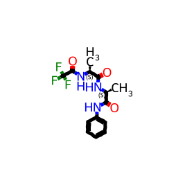 C[C@H](NC(=O)[C@H](C)NC(=O)C(F)(F)F)C(=O)Nc1ccccc1